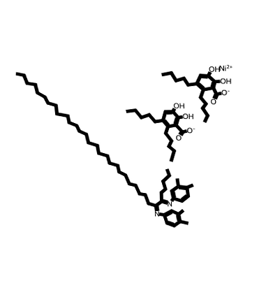 CCCCCCCCCCCCCCCCCCCCCCCCCCCC(=Nc1ccc(C)c(C)c1)C(CCCCC)=Nc1ccc(C)c(C)c1.CCCCCc1cc(O)c(O)c(C(=O)[O-])c1CCCCC.CCCCCc1cc(O)c(O)c(C(=O)[O-])c1CCCCC.[Ni+2]